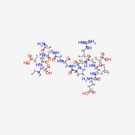 CC[C@H](C)[C@H](NC(=O)[C@H](CCC(=O)O)NC(=O)[C@H](CC(N)=O)NC(=O)CNC(=O)CNC(=O)[C@@H]1CCCN1C(=O)[C@H](CCCNC(=N)N)NC(=O)[C@H](CCC(=O)O)NC(=O)[C@H](CC(C)C)NC(=O)[C@@H](N)CCC(=O)O)C(=O)O